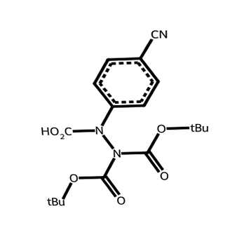 CC(C)(C)OC(=O)N(C(=O)OC(C)(C)C)N(C(=O)O)c1ccc(C#N)cc1